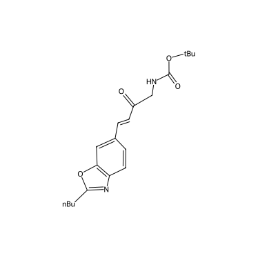 CCCCc1nc2ccc(/C=C/C(=O)CNC(=O)OC(C)(C)C)cc2o1